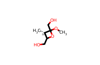 COC1(CO)OC(CO)[C@@H]1C